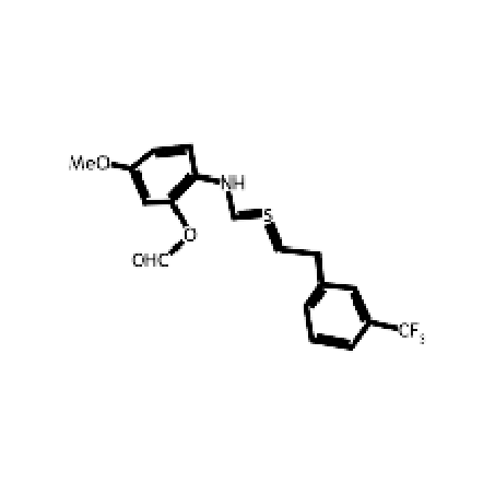 COc1ccc(NC=S=CCc2cccc(C(F)(F)F)c2)c(OC=O)c1